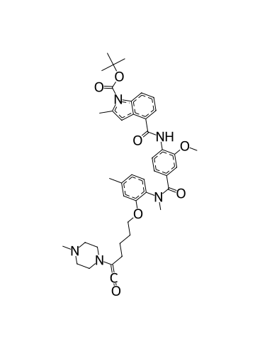 COc1cc(C(=O)N(C)c2ccc(C)cc2OCCCCC(=C=O)N2CCN(C)CC2)ccc1NC(=O)c1cccc2c1cc(C)n2C(=O)OC(C)(C)C